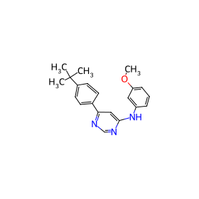 COc1cccc(Nc2cc(-c3ccc(C(C)(C)C)cc3)ncn2)c1